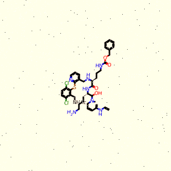 C=CNC(=C)/C=C\CN(C)C(O)[C@H](CCCCN)NC(=O)[C@H](CCCNC(=O)OCc1ccccc1)NCc1cccnc1Sc1c(Cl)ccc(Cl)c1CNC(C)=O